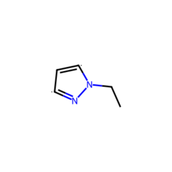 CCn1[c]c[c]n1